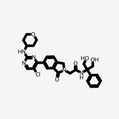 O=C(CN1Cc2ccc(-c3nc(NC4CCOCC4)ncc3Cl)cc2C1=O)NC(CO)(CO)c1ccccc1